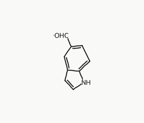 O=[C]c1ccc2[nH]ccc2c1